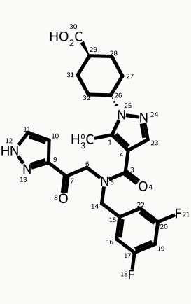 Cc1c(C(=O)N(CC(=O)c2cc[nH]n2)Cc2cc(F)cc(F)c2)cnn1[C@H]1CC[C@H](C(=O)O)CC1